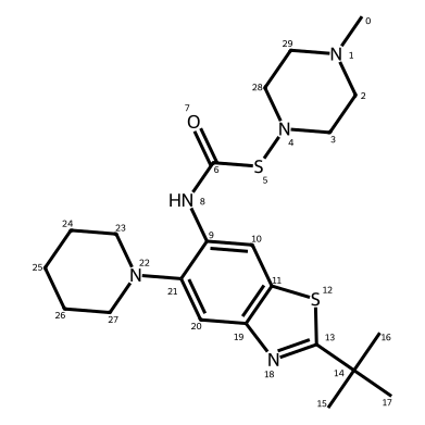 CN1CCN(SC(=O)Nc2cc3sc(C(C)(C)C)nc3cc2N2CCCCC2)CC1